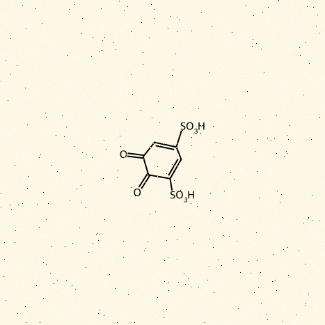 O=C1C=C(S(=O)(=O)O)C=C(S(=O)(=O)O)C1=O